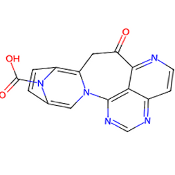 O=C1CC2=c3ccc(n3C(=O)O)=CN2c2ncnc3ccnc1c23